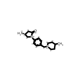 CC1CCN(Cc2ccc(N3C[C@@H](N)CC3=O)cc2)CC1